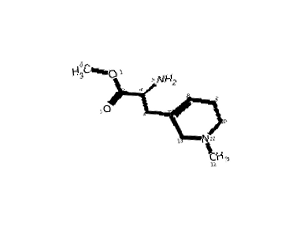 COC(=O)[C@@H](N)CC1=CCCN(C)C1